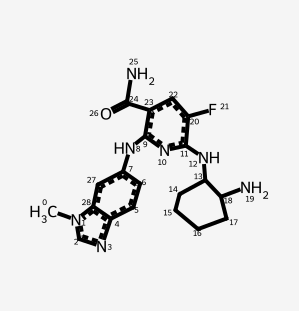 Cn1cnc2ccc(Nc3nc(NC4CCCCC4N)c(F)cc3C(N)=O)cc21